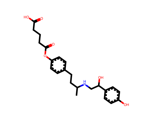 CC(CCc1ccc(OC(=O)CCCC(=O)O)cc1)NCC(O)c1ccc(O)cc1